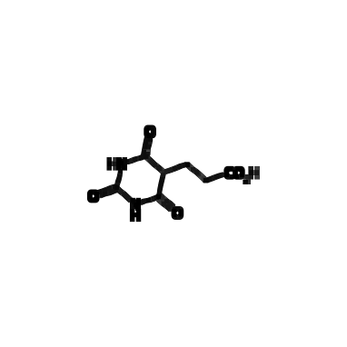 O=C(O)CCC1C(=O)NC(=O)NC1=O